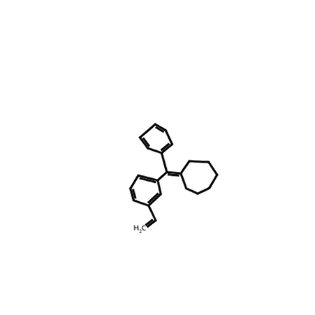 C=Cc1cccc(C(=C2CCCCCC2)c2ccccc2)c1